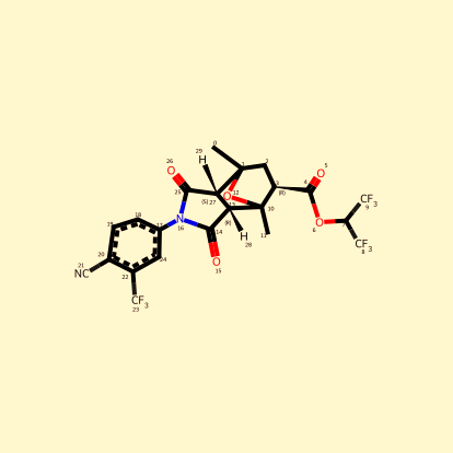 CC12C[C@@H](C(=O)OC(C(F)(F)F)C(F)(F)F)C(C)(O1)[C@@H]1C(=O)N(c3ccc(C#N)c(C(F)(F)F)c3)C(=O)[C@@H]12